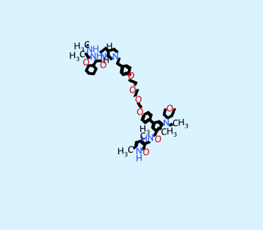 CCN(c1cc(-c2ccc(OCCOCCOCCOc3ccc(CCN4CC[C@H]5CCN(C(=O)C(NC(=O)[C@H](C)NC)C6CCCCC6)[C@H]5C4)cc3)cc2)cc(C(=O)NCc2c(C)cc(C)[nH]c2=O)c1C)C1CCOCC1